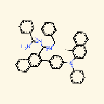 Cc1c(N(c2ccccc2)c2ccc(-c3cc4ccccc4cc3C(/N=C(\N)c3ccccc3)=N/Cc3ccccc3)cc2)ccc2ccccc12